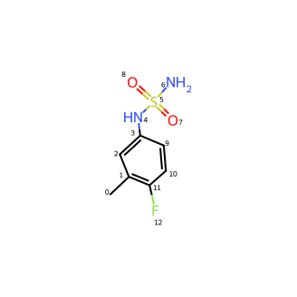 Cc1cc(NS(N)(=O)=O)ccc1F